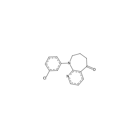 O=C1CCCN(c2cccc(Cl)c2)c2ncccc21